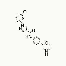 O=C(Nc1ccc(C2CNCCO2)cc1)c1cnn(-c2cc(Cl)ccn2)c1